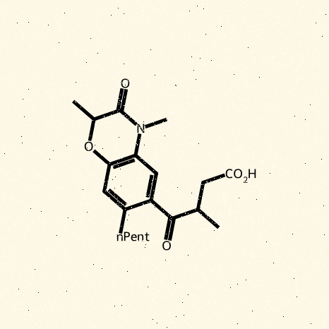 CCCCCc1cc2c(cc1C(=O)C(C)CC(=O)O)N(C)C(=O)C(C)O2